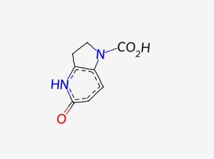 O=C(O)N1CCc2[nH]c(=O)ccc21